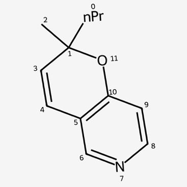 CCCC1(C)C=Cc2cnccc2O1